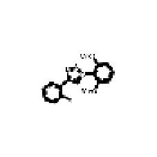 COc1cccc(OC)c1-n1cc(-c2ccccc2I)nn1